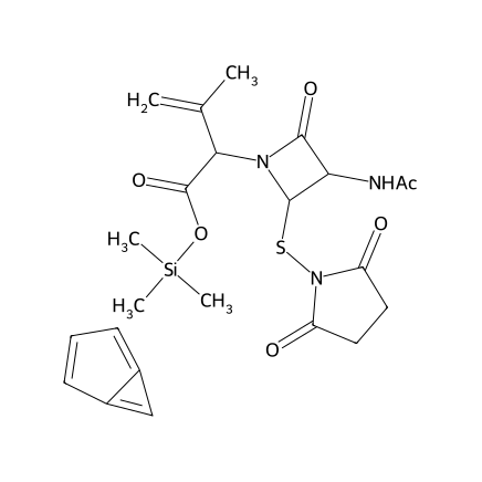 C=C(C)C(C(=O)O[Si](C)(C)C)N1C(=O)C(NC(C)=O)C1SN1C(=O)CCC1=O.c1cc2cc-2c1